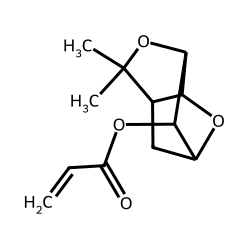 C=CC(=O)OC1C2CC3C(O2)C1OC3(C)C